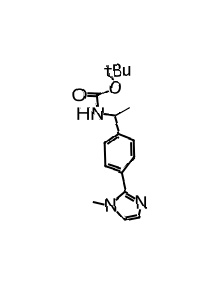 CC(NC(=O)OC(C)(C)C)c1ccc(-c2nccn2C)cc1